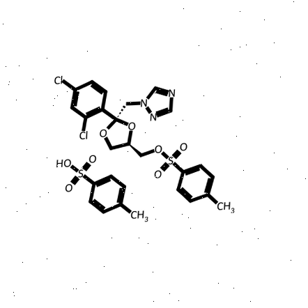 Cc1ccc(S(=O)(=O)O)cc1.Cc1ccc(S(=O)(=O)OC[C@H]2CO[C@@](Cn3cncn3)(c3ccc(Cl)cc3Cl)O2)cc1